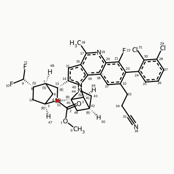 COC(=O)N1[C@@H]2C[C@@H]([C@@H](C(F)F)C2)[C@@H]1c1cc2c(C)nc3c(F)c(-c4cccc(Cl)c4Cl)c(CCC#N)cc3c2n1[C@H]1[C@H]2CN[C@@H]1C2